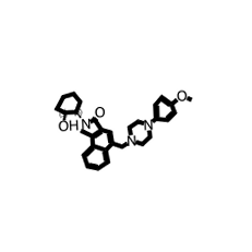 COc1ccc(N2CCN(Cc3cc4c(c5ccccc35)CN([C@H]3CCCC[C@@H]3O)C4=O)CC2)cc1